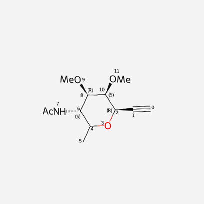 C#C[C@H]1OC(C)[C@H](NC(C)=O)[C@@H](OC)[C@H]1OC